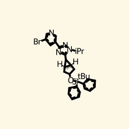 CC(C)n1nc(-c2cncc(Br)c2)nc1C1[C@H]2CC(O[Si](c3ccccc3)(c3ccccc3)C(C)(C)C)C[C@@H]12